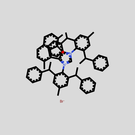 Cc1cc(C(C)c2ccccc2)c(-n2c[n+](-c3c(C(C)c4ccccc4)cc(C)cc3C(C)c3ccccc3)c3c2-c2c(C)ccc4ccc(C)c-3c24)c(C(C)c2ccccc2)c1.[Br-]